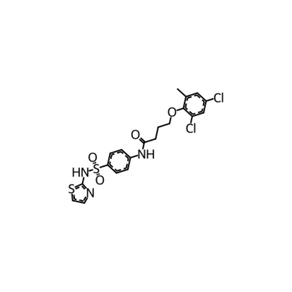 Cc1cc(Cl)cc(Cl)c1OCCCC(=O)Nc1ccc(S(=O)(=O)Nc2nccs2)cc1